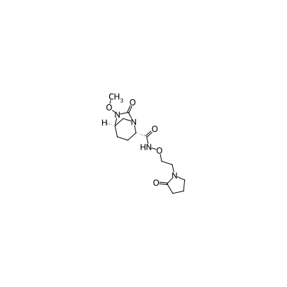 CON1C(=O)N2C[C@H]1CC[C@H]2C(=O)NOCCN1CCCC1=O